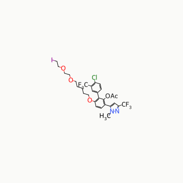 CC(=O)Oc1c(-c2cc(C(F)(F)F)nn2C)ccc(OCCCCCOCCOCCI)c1-c1ccc(Cl)c(C(F)(F)F)c1